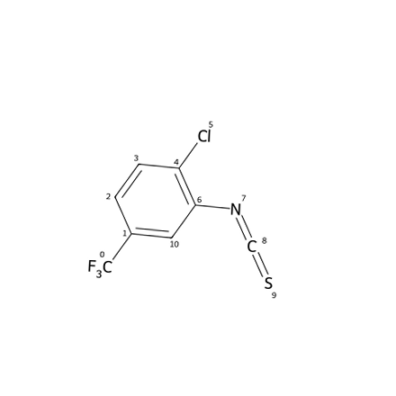 FC(F)(F)c1ccc(Cl)c(N=C=S)c1